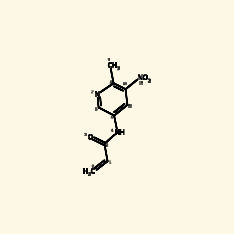 C=CC(=O)Nc1cnc(C)c([N+](=O)[O-])c1